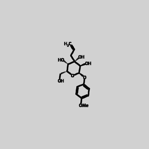 C=CC[C@@]1(O)[C@@H](O)[C@@H](Oc2ccc(OC)cc2)O[C@H](CO)[C@@H]1O